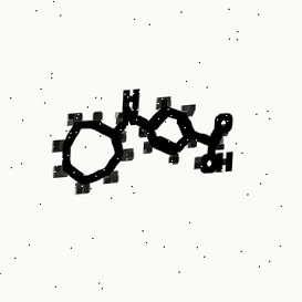 O=C(O)c1ccc(NC2CCCCCCC2)cc1